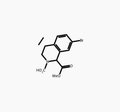 CC.COC(=O)C1c2cc(Br)ccc2CCN1C(=O)O